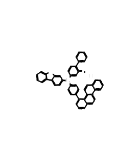 CSc1cc(N(c2ccc(-c3cccc4ccc5c6ccccc6ccc5c34)cc2)c2ccc3c(c2)sc2ccccc23)ccc1-c1ccccc1